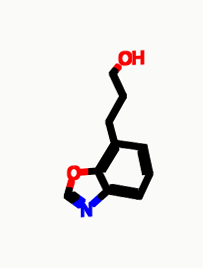 OCCCc1cccc2ncoc12